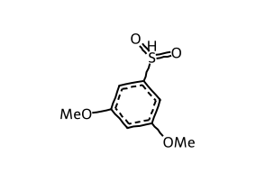 COc1cc(OC)cc([SH](=O)=O)c1